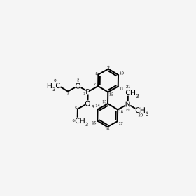 CCOP(OCC)c1ccccc1-c1ccccc1N(C)C